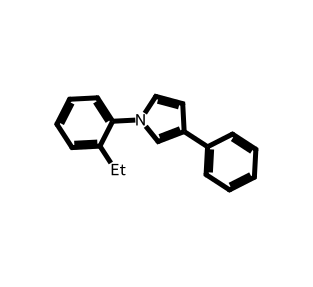 CCc1ccccc1-n1ccc(-c2ccccc2)c1